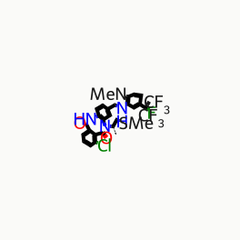 CNc1ccc(C(F)(C(F)(F)F)C(F)(F)F)cc1NCc1ccc2c(c1)N([C@@H](C)CSC)C(=O)c1c(Cl)cccc1C(=O)N2